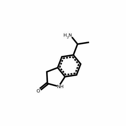 CC(N)c1ccc2c(c1)CC(=O)N2